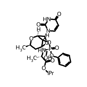 CC(C)OC(=O)[C@H](C)N[P@@](=O)(Oc1ccccc1)O[C@H]1[C@H]2O[C@H](C)C[C@]1(CO)O[C@H]2n1ccc(=O)[nH]c1=O